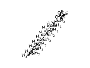 O=S(=O)(O[SiH2][SiH2][SiH2][SiH2][SiH2][SiH2][SiH2][SiH2][SiH2][SiH2][SiH2][SiH2][SiH2][SiH2][SiH2][SiH3])C(F)(F)F